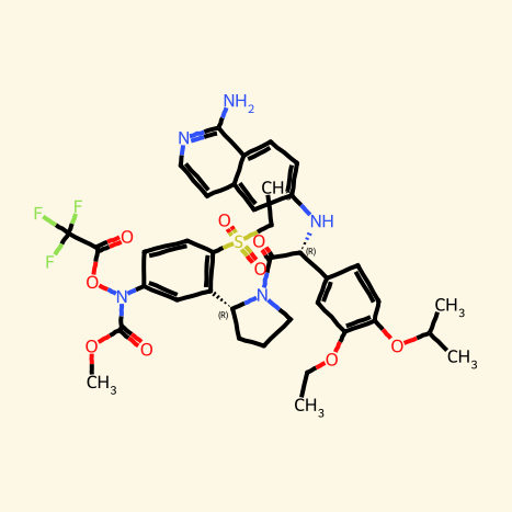 CCOc1cc([C@@H](Nc2ccc3c(N)nccc3c2)C(=O)N2CCC[C@@H]2c2cc(N(OC(=O)C(F)(F)F)C(=O)OC)ccc2S(=O)(=O)CC)ccc1OC(C)C